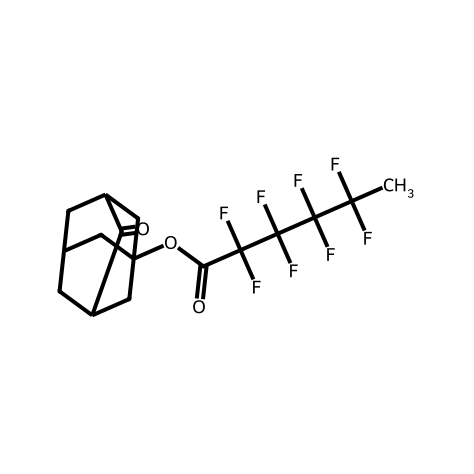 CC(F)(F)C(F)(F)C(F)(F)C(F)(F)C(=O)OC12CC3CC(C1)C(=O)C(C3)C2